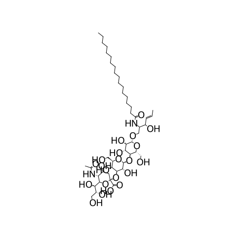 C/C=C/C(O)C(CO[C@@H]1O[C@H](CO)[C@@H](O[C@@H]2O[C@H](CO)[C@H](O)[C@H](O[C@]3(C(=O)O)C[C@H](O)[C@@H](NC(C)=O)C([C@H](O)[C@H](O)CO)O3)[C@H]2O)[C@H](O)[C@H]1O)NC(=O)CCCCCCCCCCCCCCCCC